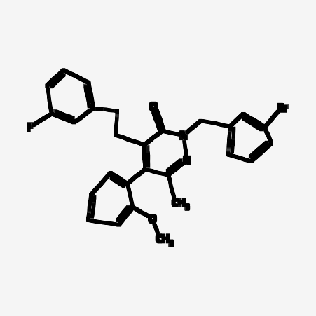 COc1ccccc1-c1c(C)nn(Cc2cccc(Br)c2)c(=O)c1CCc1cccc(F)c1